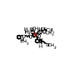 COCCCc1nc2c(C(COCC[Si](C)(C)C)OC3CN(C(=O)OC(C)(C)C)CCC3c3ccc(OCCCOCc4ccccc4OC)cc3)cccc2[nH]1